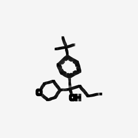 [CH2]CCC(O)(c1ccc(C(C)(C)C)cc1)C1CCOCC1